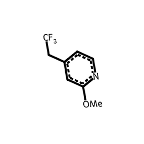 COc1cc(CC(F)(F)F)ccn1